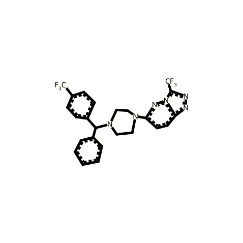 FC(F)(F)c1ccc(C(c2ccccc2)N2CCN(c3ccc4nnc(C(F)(F)F)n4n3)CC2)cc1